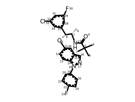 C[C@H](NC(=O)C(C)(C)C)[C@H](Oc1ccc2c(cnn2-c2ccc(F)cc2)c1)c1cc(F)cc(Cl)c1